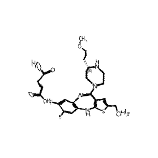 CCc1cc2c(s1)Nc1cc(F)c(F)cc1N=C2N1CCN[C@@H](CCOC)C1.O=C(O)CCC(=O)O